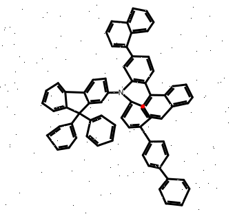 c1ccc(-c2ccc(-c3ccc(N(c4ccc5c(c4)C(c4ccccc4)(c4ccccc4)c4ccccc4-5)c4cc(-c5cccc6ccccc56)ccc4-c4cccc5ccccc45)cc3)cc2)cc1